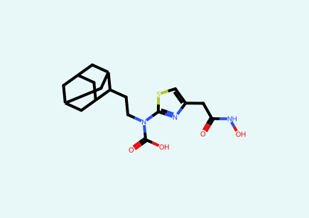 O=C(Cc1csc(N(CCC2C3CC4CC(C3)CC2C4)C(=O)O)n1)NO